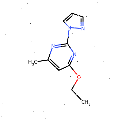 CCOc1cc(C)nc(-n2cccn2)n1